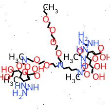 CCCOCCOCCOCCOCCN(CCCCN(C)C(=O)O[C@@H]([C@@H]1OC(C(=O)O)=C[C@H](NC(=N)N)[C@H]1NC(C)=O)[C@H](O)CO)CCOCCOCCN(C)C(=O)O[C@@H]([C@@H]1OC(C(=O)O)=C[C@H](NC(=N)N)[C@H]1C)[C@H](O)CO